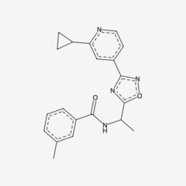 Cc1cccc(C(=O)NC(C)c2nc(-c3ccnc(C4CC4)c3)no2)c1